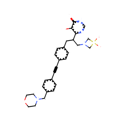 O=c1[nH]cnc(C(Cc2ccc(C#Cc3ccc(CN4CCOCC4)cc3)cc2)CN2CS(O)(O)C2)c1O